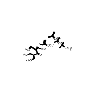 C=C(C)C(=O)O.C=C(C)C(=O)O.C=C(C)C(=O)O.C=C(C)C(=O)O.O=C(C(CO)CO)C(CO)CO